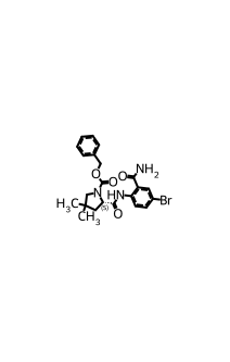 CC1(C)C[C@@H](C(=O)Nc2ccc(Br)cc2C(N)=O)N(C(=O)OCc2ccccc2)C1